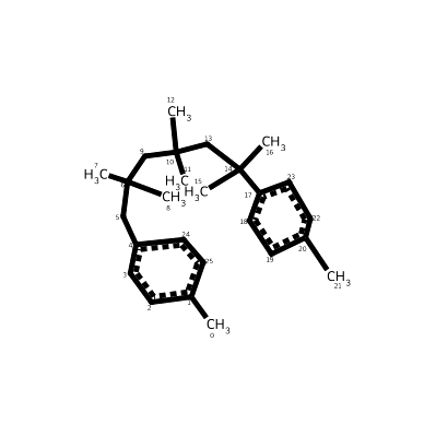 Cc1ccc(CC(C)(C)CC(C)(C)CC(C)(C)c2ccc(C)cc2)cc1